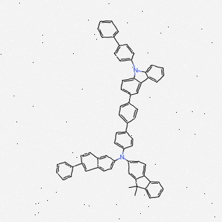 CC1(C)c2ccccc2-c2ccc(N(c3ccc(-c4ccc(-c5ccc6c(c5)c5ccccc5n6-c5ccc(-c6ccccc6)cc5)cc4)cc3)c3ccc4cc(-c5ccccc5)ccc4c3)cc21